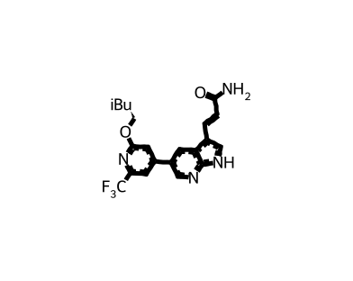 CC[C@@H](C)COc1cc(-c2cnc3[nH]cc(/C=C/C(N)=O)c3c2)cc(C(F)(F)F)n1